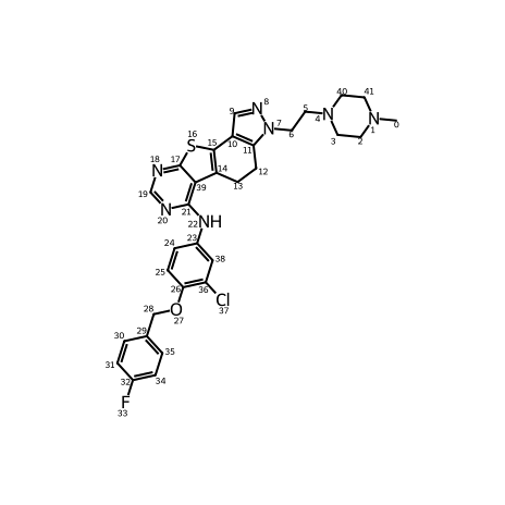 CN1CCN(CCn2ncc3c2CCc2c-3sc3ncnc(Nc4ccc(OCc5ccc(F)cc5)c(Cl)c4)c23)CC1